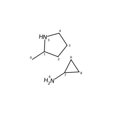 CC1CCCN1.NC1CC1